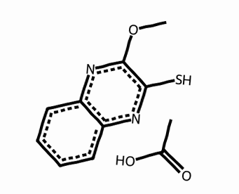 CC(=O)O.COc1nc2ccccc2nc1S